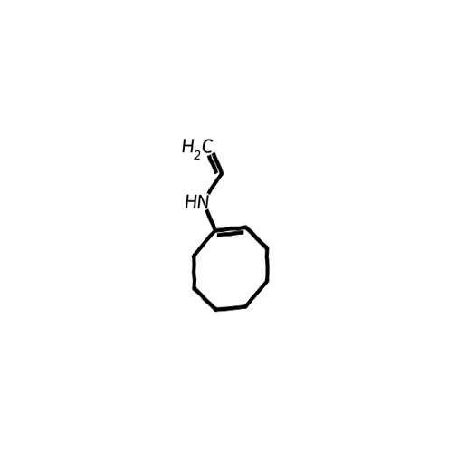 C=CNC1=CCCCCCC1